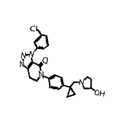 O=C1c2c(nnn2-c2cccc(Cl)c2)CCN1c1ccc(C2(CN3CCC(O)C3)CC2)cc1